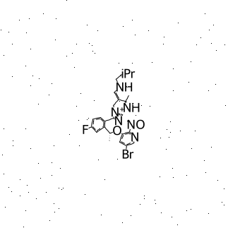 CC(=N)/C(=C\NCC(C)C)C[N+]1=CN=C1c1ccc(F)cc1[C@@H](C)Oc1cc(Br)cnc1N=O